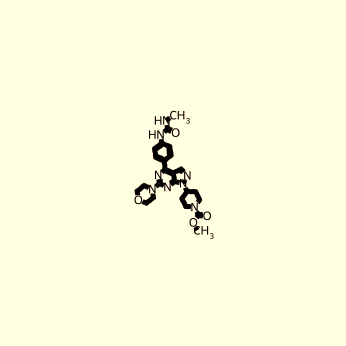 CNC(=O)Nc1ccc(-c2nc(N3CCOCC3)nc3c2cnn3C2CCN(C(=O)OC)CC2)cc1